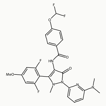 COc1cc(F)c(-c2c(NC(=O)c3ccc(OC(F)F)cc3)c(=O)n(-c3cccc(N(C)C)n3)n2C)c(F)c1